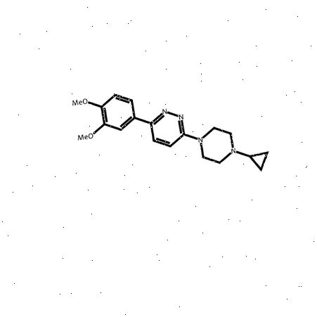 COc1ccc(-c2ccc(N3CCN(C4CC4)CC3)nn2)cc1OC